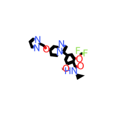 COc1cc(-c2cnc3cc(OCc4ncccn4)ccn23)cc(OC(F)F)c1C(=O)NC1CC1